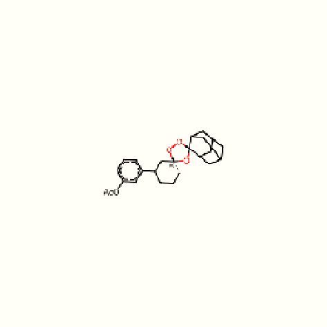 CC(=O)Oc1cccc(C2CCC[C@]3(C2)OOC2(O3)C3CC4CC(C3)CC2C4)c1